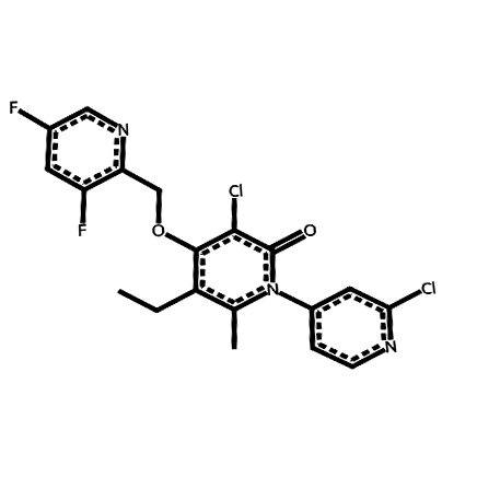 CCc1c(OCc2ncc(F)cc2F)c(Cl)c(=O)n(-c2ccnc(Cl)c2)c1C